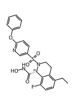 CCc1ccc(F)c2c1CCN(S(=O)(=O)c1ccc(Oc3ccccc3)nc1)[C@H]2C(=O)NO